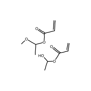 C=CC(=O)OC(C)O.C=CC(=O)OC(C)OC